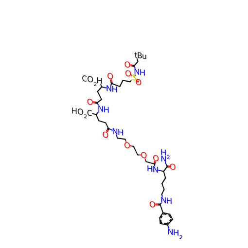 CC(C)(C)CC(=O)NS(=O)(=O)CCCC(=O)NC(CCC(=O)NC(CCC(=O)NCCOCCOCC(=O)NC(CCCCNC(=O)c1ccc(N)cc1)C(N)=O)C(=O)O)C(=O)O